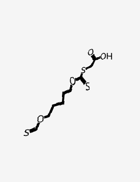 O=C(O)CSC(=S)OCCCCCOC=S